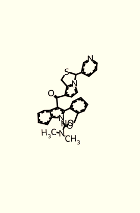 CN(C)C(=O)n1c(-c2ccccc2CO)c(C(=O)c2ccn3c2CSC3c2cccnc2)c2ccccc21